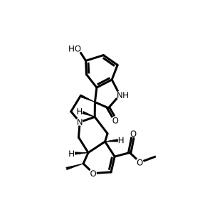 COC(=O)C1=CO[C@@H](C)[C@@H]2CN3CC[C@@]4(C(=O)Nc5ccc(O)cc54)[C@@H]3C[C@H]12